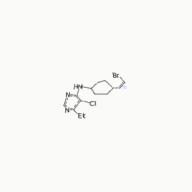 CCc1ncnc(NC2CCC(/C=C\Br)CC2)c1Cl